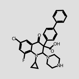 O=C(O)C1(c2ccc(-c3ccccc3)cc2)C(=O)c2cc(Cl)cc(F)c2N(C2CC2)C1N1CCNCC1